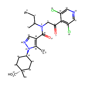 CC(C)CC(C)N(CC(=O)c1c(Cl)cncc1Cl)C(=O)c1cnn([C@H]2CC[C@](C)(C(=O)O)CC2)c1C(F)(F)F